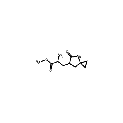 COC(=O)[C@@H](N)CC1CC2(CC2)NC1=O